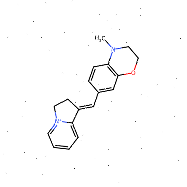 CN1CCOc2cc(C=C3CC[n+]4ccccc43)ccc21